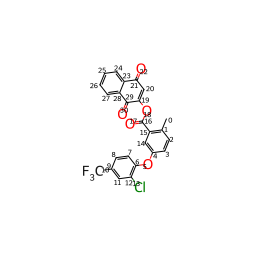 Cc1ccc(Oc2ccc(C(F)(F)F)cc2Cl)cc1C(=O)OC1=CC(=O)c2ccccc2C1=O